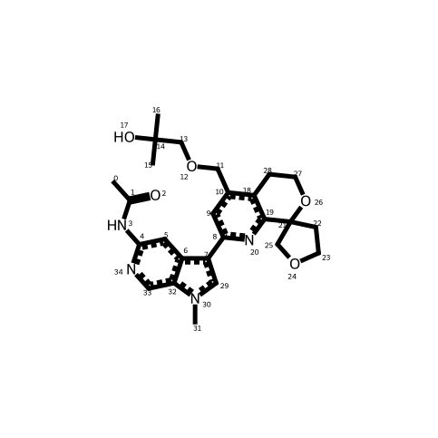 CC(=O)Nc1cc2c(-c3cc(COCC(C)(C)O)c4c(n3)C3(CCOC3)OCC4)cn(C)c2cn1